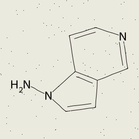 Nn1ccc2cnccc21